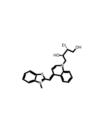 CC[C@H](CO)[C@H](O)CN1C=C/C(=C\c2sc3ccccc3[n+]2C)c2ccccc21